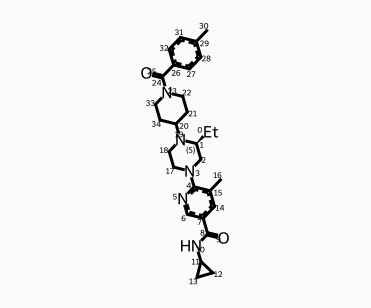 CC[C@H]1CN(c2ncc(C(=O)NC3CC3)cc2C)CCN1C1CCN(C(=O)c2ccc(C)cc2)CC1